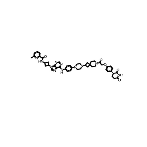 Cc1cccc(C(=O)NC2CC(n3cnc4c(Nc5ccc(N6CCN(C7CC8(CCN(C(=O)COc9ccc([C@@H]%10CCC(=O)NC%10=O)cc9)CC8)C7)CC6)cc5)ncnc43)C2)n1